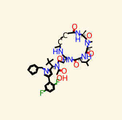 CC(C)C[C@@H]1NC(=O)[C@H](C)N(C)C(=O)[C@H](C)NC(=O)CCCCC(C)NC(=O)[C@H](CCN(C(=O)CO)[C@@H](c2cc(-c3cc(F)ccc3F)cn2Cc2ccccc2)C(C)(C)C)NC1=O